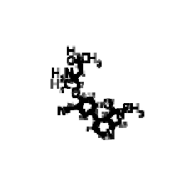 CC(C)CC(C)(N)COc1ccc(-c2ccnc3c2C(=O)N(C)C3)cc1C#N